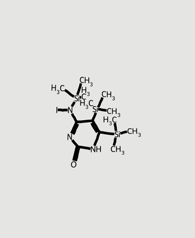 C[Si](C)(C)c1[nH]c(=O)nc(N(I)[Si](C)(C)C)c1[Si](C)(C)C